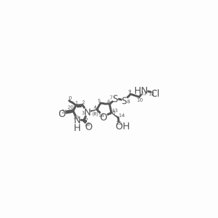 Cc1cn([C@H]2CC(SSCCNCl)[C@@H](CO)O2)c(=O)[nH]c1=O